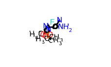 COc1cc2ncc(-c3ccc(N)c(C#N)c3F)n2cc1S(=O)(=O)C(C)(C)C